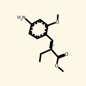 CC/C(=C\c1ccc(N)cc1OC)C(=O)OC